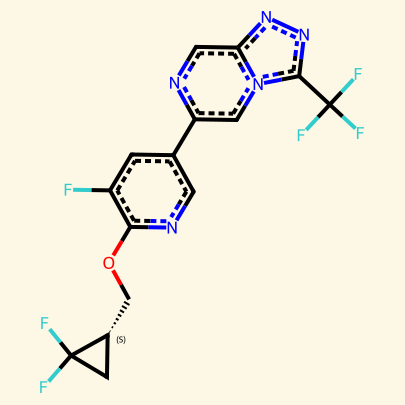 Fc1cc(-c2cn3c(C(F)(F)F)nnc3cn2)cnc1OC[C@@H]1CC1(F)F